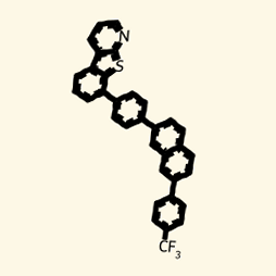 FC(F)(F)c1ccc(-c2ccc3ccc(-c4ccc(-c5cccc6c5sc5ncccc56)cc4)cc3c2)cc1